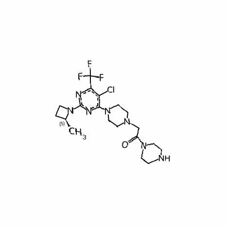 C[C@H]1CCN1c1nc(N2CCN(CC(=O)N3CCNCC3)CC2)c(Cl)c(C(F)(F)F)n1